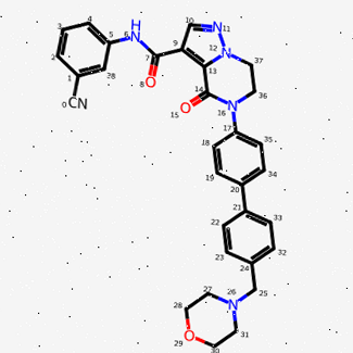 N#Cc1cccc(NC(=O)c2cnn3c2C(=O)N(c2ccc(-c4ccc(CN5CCOCC5)cc4)cc2)CC3)c1